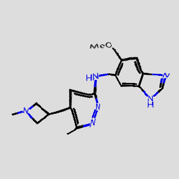 COc1cc2nc[nH]c2cc1Nc1cc(C2CN(C)C2)c(C)nn1